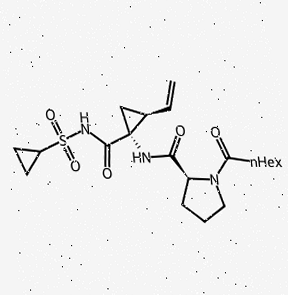 C=C[C@@H]1C[C@]1(NC(=O)[C@@H]1CCCN1C(=O)CCCCCC)C(=O)NS(=O)(=O)C1CC1